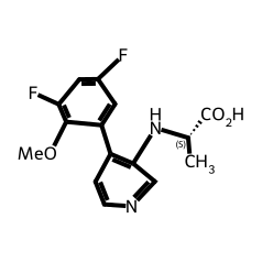 COc1c(F)cc(F)cc1-c1ccncc1N[C@@H](C)C(=O)O